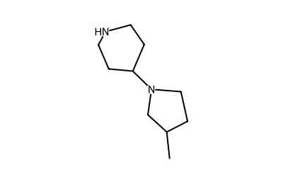 CC1CCN(C2CCNCC2)C1